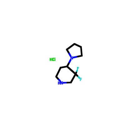 Cl.FC1(F)CNCCC1N1CCCC1